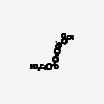 C[C@H]1CC2(CCN(c3ccc(C(=O)C4CCN(CC(=O)O)CC4)cc3)CC2)CN1c1ccc(C#N)c(Cl)c1